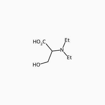 CCN(CC)C(CO)C(=O)O